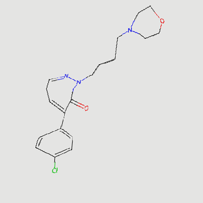 O=c1c(-c2ccc(Cl)cc2)ccnn1CCCCN1CCOCC1